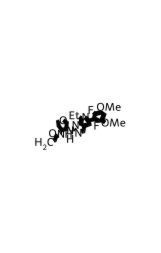 C=CC(=O)N[C@H]1CCOC[C@H]1Nc1ncc2cc(-c3c(F)c(OC)cc(OC)c3F)nc(CC)c2n1